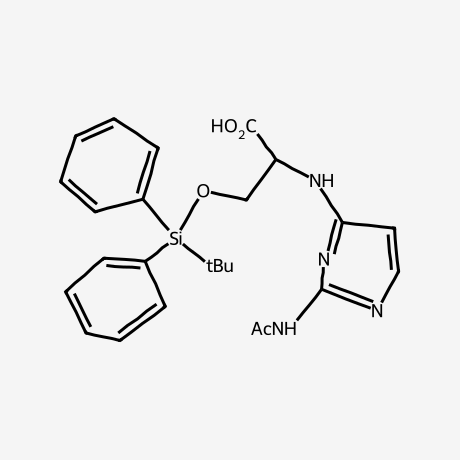 CC(=O)Nc1nccc(NC(CO[Si](c2ccccc2)(c2ccccc2)C(C)(C)C)C(=O)O)n1